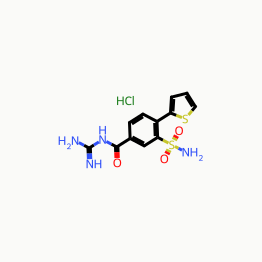 Cl.N=C(N)NC(=O)c1ccc(-c2cccs2)c(S(N)(=O)=O)c1